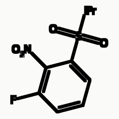 CC(C)S(=O)(=O)c1cccc(F)c1[N+](=O)[O-]